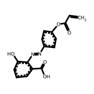 C=CC(=O)Oc1ccc(N=Nc2c(O)cccc2C(=O)O)cc1